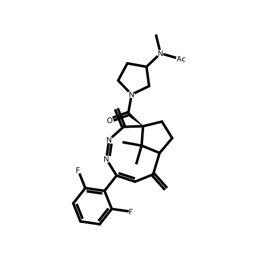 C=C1/C=C(c2c(F)cccc2F)\N=N/C(=C)[C@]2(C(=O)N3CCC(N(C)C(C)=O)C3)CCC1C2(C)C